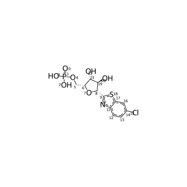 O=P(O)(O)OC[C@H]1O[C@@H](c2nc3ccc(Cl)cc3s2)[C@H](O)[C@H]1O